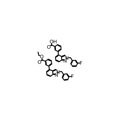 CCOC(=O)c1cccc(-c2cccc3nn(Cc4cccc(F)c4)cc23)c1.O=C(O)c1cccc(-c2cccc3nn(Cc4cccc(F)c4)cc23)c1